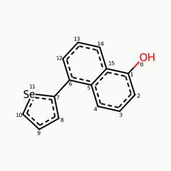 Oc1cccc2c(-c3ccc[se]3)cccc12